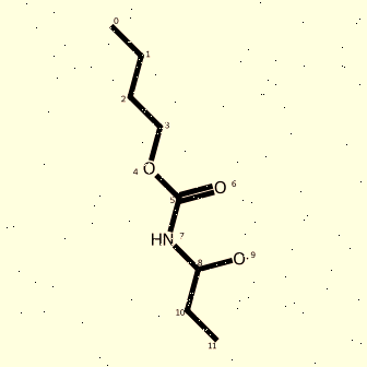 CCCCOC(=O)NC([O])CC